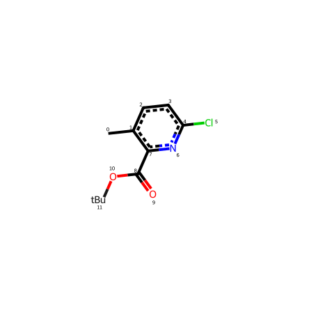 Cc1ccc(Cl)nc1C(=O)OC(C)(C)C